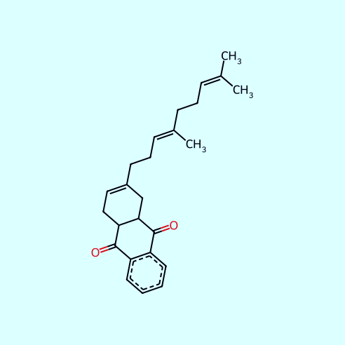 CC(C)=CCC/C(C)=C/CCC1=CCC2C(=O)c3ccccc3C(=O)C2C1